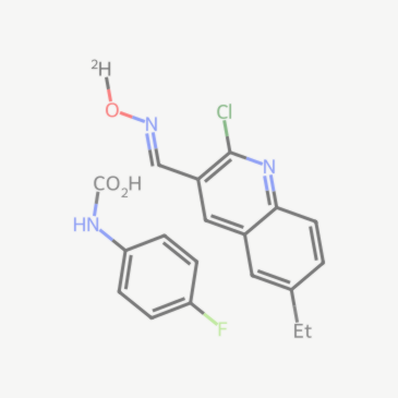 O=C(O)Nc1ccc(F)cc1.[2H]ON=Cc1cc2cc(CC)ccc2nc1Cl